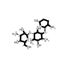 CC[C@@H]1CCC(N)[C@@H](OC2C(O)[C@@H](O[C@H]3OC(CO)[C@@H](O)[C@H](N)C3O)C(N)[C@H](O)[C@@H]2C)O1